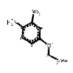 CSCOc1ccc(N)c([N+](=O)[O-])c1